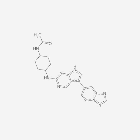 CC(=O)NC1CCC(Nc2ncc3c(-c4ccn5ncnc5c4)c[nH]c3n2)CC1